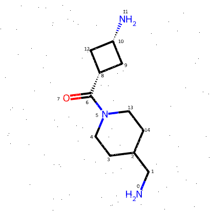 NCC1CCN(C(=O)[C@H]2C[C@@H](N)C2)CC1